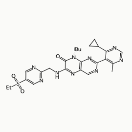 CC[C@@H](C)n1c(=O)c(NCc2ncc(S(=O)(=O)CC)cn2)nc2cnc(-c3c(C)ncnc3C3CC3)nc21